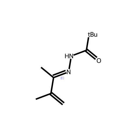 C=C(C)/C(C)=N/NC(=O)C(C)(C)C